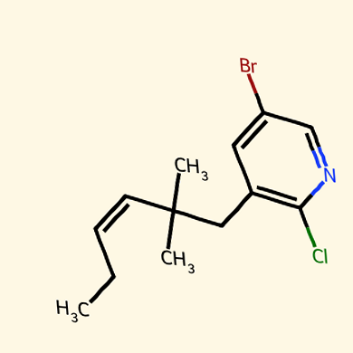 CC/C=C\C(C)(C)Cc1cc(Br)cnc1Cl